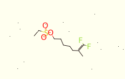 CCS(=O)(=O)OCCCCCC(C)=C(F)F